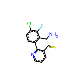 NCc1c(-c2ncccc2C=S)ccc(Cl)c1F